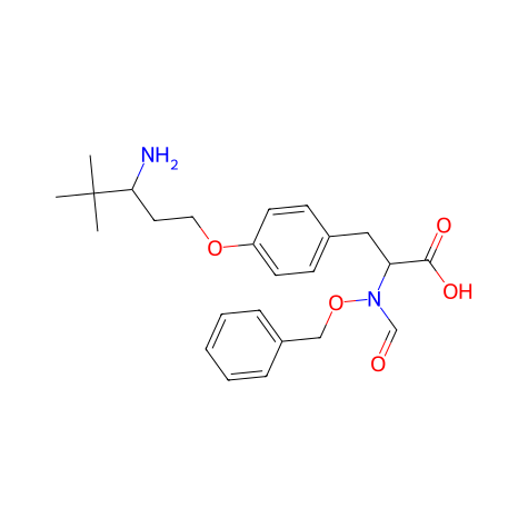 CC(C)(C)C(N)CCOc1ccc(CC(C(=O)O)N(C=O)OCc2ccccc2)cc1